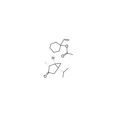 C=CC1(OC(C)=O)CCCCC1.CC(C)[C@]12CC(=O)[C@H](C)[C@H]1C2